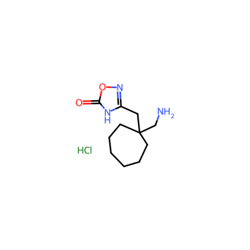 Cl.NCC1(Cc2noc(=O)[nH]2)CCCCCC1